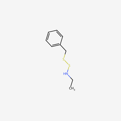 CCNSSCc1ccccc1